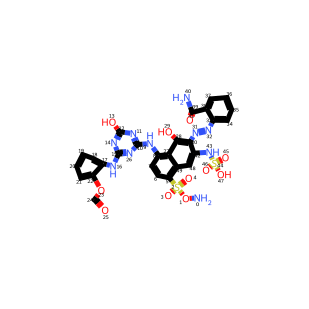 NOS(=O)(=O)c1ccc(Nc2nc(O)nc(Nc3ccccc3OC=O)n2)c2c(O)c(N=Nc3ccccc3C(N)=O)c(NS(=O)(=O)O)cc12